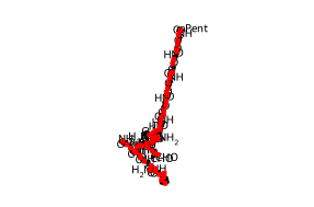 C=C(CCC(=O)N[C@@H](CCCCNC(=O)CC[C@H](NC(=O)[C@H](CCCC)NC(=O)[C@H](CNCCN(CC=O)CC=O)NC(=O)[C@H](C/C=C/N)NC(=O)[C@H](CCC(N)=O)NC(=O)[C@H](C)NC(=O)CNC(=O)COCCOCCNC(=O)COCCOCCNC(=O)COCCOCCNC(=O)COCCOCCNC(=O)CCCCC)C(=O)NCCCCC(N)=O)C(N)=O)c1ccccc1